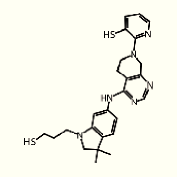 CC1(C)CN(CCCS)c2cc(Nc3ncnc4c3CCN(c3ncccc3S)C4)ccc21